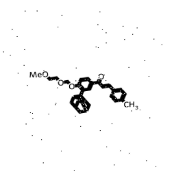 COCCOCOc1ccc(C(=O)/C=C/c2ccc(C)cc2)cc1C1C2CC3CC(C2)CC1C3